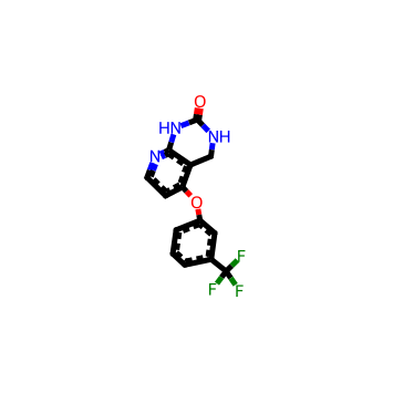 O=C1NCc2c(Oc3cccc(C(F)(F)F)c3)ccnc2N1